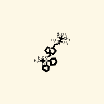 CC(C)(C)[Si](C)(C)OCC1CCC2(CO[Si](c3ccccc3)(c3ccccc3)C(C)(C)C)CCCN12